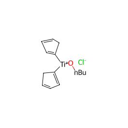 CCCC[O][Ti+]([C]1=CC=CC1)[C]1=CC=CC1.[Cl-]